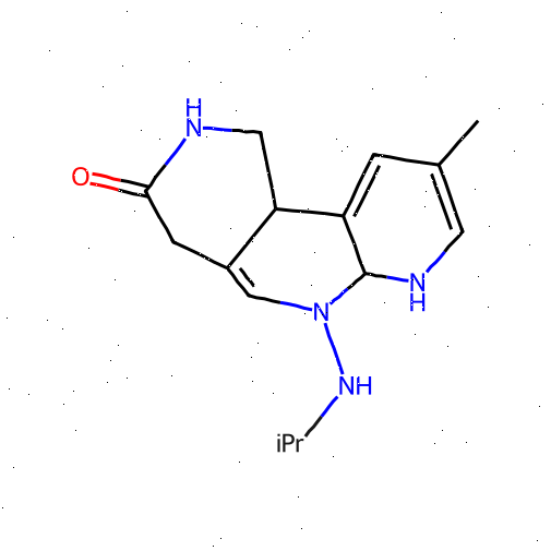 CC1=CNC2C(=C1)C1CNC(=O)CC1=CN2NC(C)C